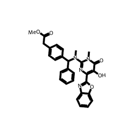 COC(=O)Cc1ccc(C(c2ccccc2)N(C)c2nc(-c3nc4ccccc4o3)c(O)c(=O)n2C)cc1